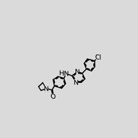 O=C(c1ccc(Nc2nccc(-c3ccc(Cl)cc3)n2)cc1)N1CCC1